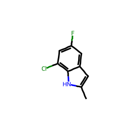 Cc1cc2cc(F)cc(Cl)c2[nH]1